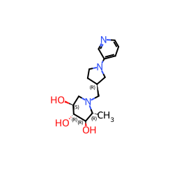 C[C@@H]1[C@@H](O)[C@H](O)[C@@H](O)CN1C[C@H]1CCN(c2cccnc2)C1